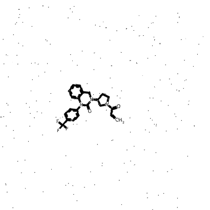 C=CC(=O)N1CCC(N2Cc3ccccc3N(c3ccc(C(F)(F)F)cc3)C2=O)C1